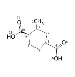 CC1CC(C(=O)O)CC[C@H]1C(=O)O